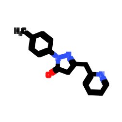 Cc1ccc(N2N=C(Cc3ccccn3)CC2=O)cc1